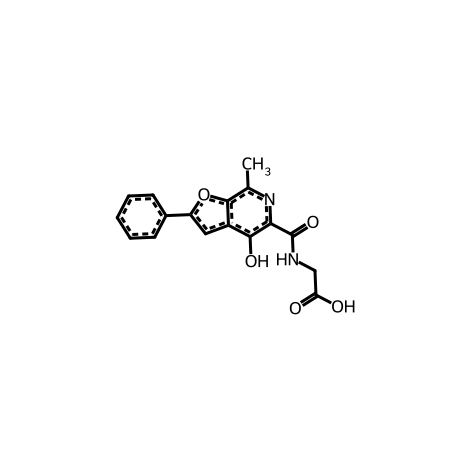 Cc1nc(C(=O)NCC(=O)O)c(O)c2cc(-c3ccccc3)oc12